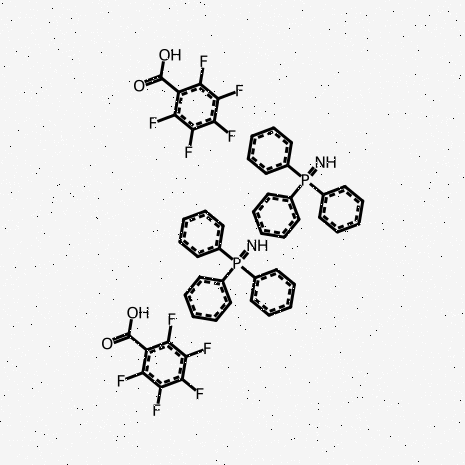 N=P(c1ccccc1)(c1ccccc1)c1ccccc1.N=P(c1ccccc1)(c1ccccc1)c1ccccc1.O=C(O)c1c(F)c(F)c(F)c(F)c1F.O=C(O)c1c(F)c(F)c(F)c(F)c1F